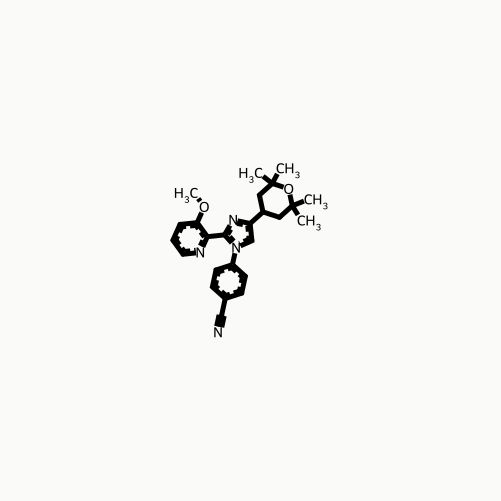 COc1cccnc1-c1nc(C2CC(C)(C)OC(C)(C)C2)cn1-c1ccc(C#N)cc1